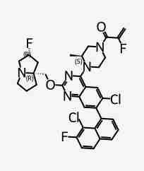 C=C(F)C(=O)N1CCN(c2nc(OC[C@]34CCCN3C[C@H](F)C4)nc3cc(-c4cccc5ccc(F)c(Cl)c45)c(Cl)cc23)[C@@H](C)C1